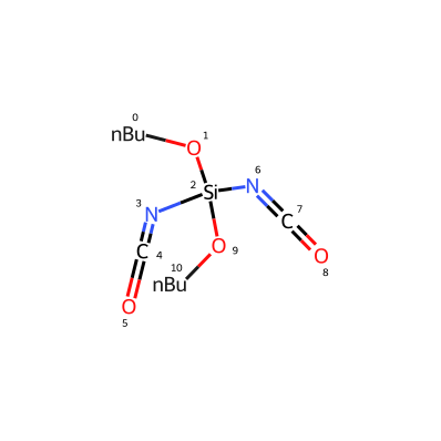 CCCCO[Si](N=C=O)(N=C=O)OCCCC